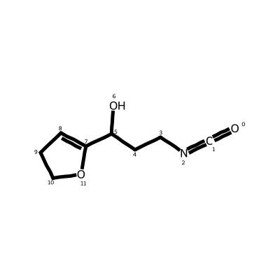 O=C=NCCC(O)C1=CCCO1